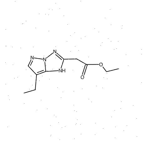 CCOC(=O)Cc1nn2ncc(CC)c2[nH]1